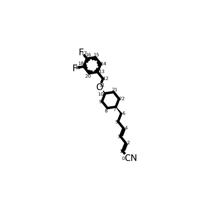 N#CC=CC=CCC[C@H]1CC[C@H](OCc2ccc(F)c(F)c2)CC1